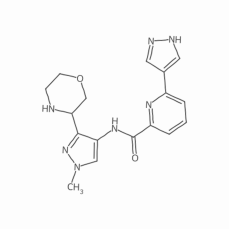 Cn1cc(NC(=O)c2cccc(-c3cn[nH]c3)n2)c(C2COCCN2)n1